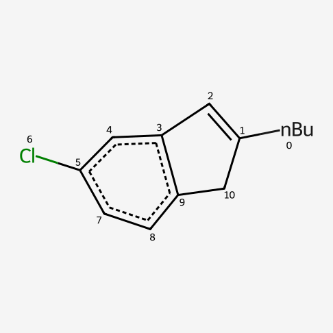 CCCCC1=Cc2cc(Cl)ccc2C1